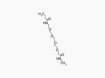 CCCC(=O)NCCOCCOCCOCCOCCC(=O)NCC